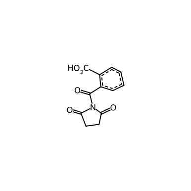 O=C(O)c1ccccc1C(=O)N1C(=O)CCC1=O